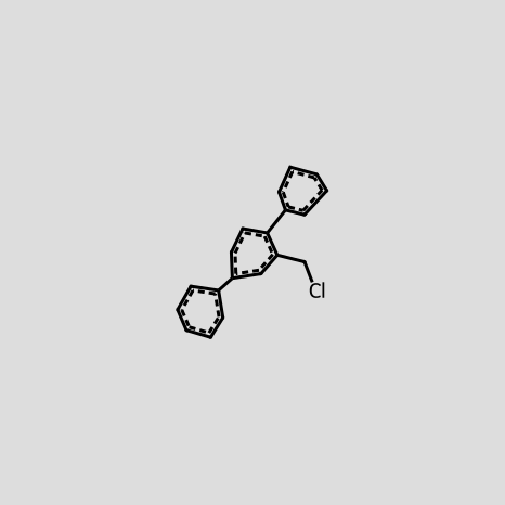 ClCc1cc(-c2ccccc2)ccc1-c1ccccc1